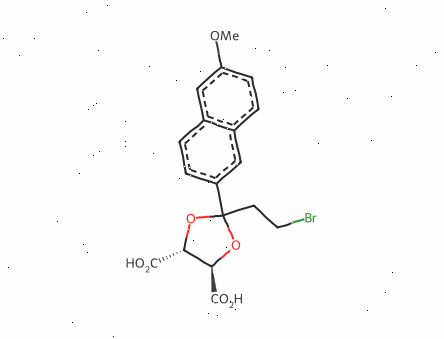 COc1ccc2cc(C3(CCBr)O[C@@H](C(=O)O)[C@H](C(=O)O)O3)ccc2c1